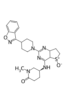 CN1C[C@@H](NC2=NC(N3CCC(c4noc5ccccc45)CC3)=NC3CC[S+]([O-])C23)CCC1=O